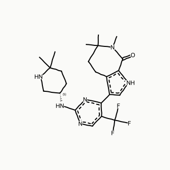 CN1C(=O)c2[nH]cc(-c3nc(N[C@H]4CCC(C)(C)NC4)ncc3C(F)(F)F)c2CCC1(C)C